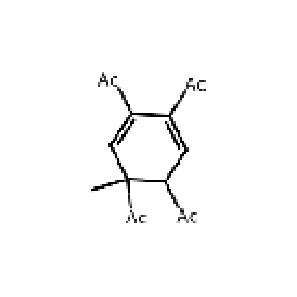 CC(=O)C1=CC(C(C)=O)C(C)(C(C)=O)C=C1C(C)=O